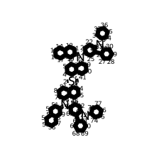 C[Si](C)(c1cccc2c(N(c3ccc4ccccc4c3)c3ccc4c(c3)c3ccccc3n4-c3ccccc3)cccc12)c1cccc2c(N(c3ccc4ccccc4c3)c3ccc4c(c3)c3ccccc3n4-c3ccccc3)cccc12